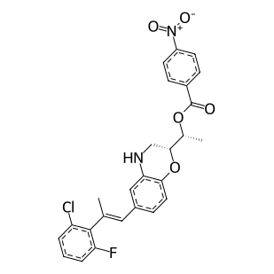 CC(=Cc1ccc2c(c1)NC[C@H]([C@@H](C)OC(=O)c1ccc([N+](=O)[O-])cc1)O2)c1c(F)cccc1Cl